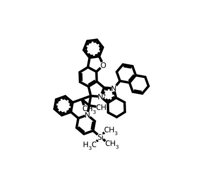 CC12c3ccccc3C3C=CC([Si](C)(C)C)=CN3C1(C)C21C2=C(c3n(C4CC=CC5=C4C=CCC5)c4c([n+]31)CCCC4)C1Oc3ccccc3C1C=C2